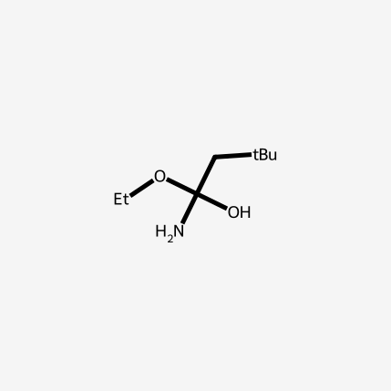 CCOC(N)(O)CC(C)(C)C